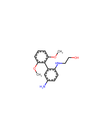 COc1cccc(OC)c1-c1cc(N)ccc1NCCO